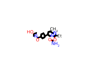 CCc1nc2c(C)cc(-c3ccc(C(=O)N4CC(O)C4)cc3)cn2c1OC(N)=O